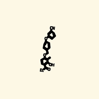 CCC(=O)c1ccc(OCc2ccc(Oc3cccc(C#N)c3)cc2)c(C)c1O